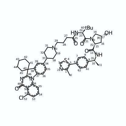 Cc1ncsc1-c1ccc([C@H](C)NC(=O)[C@@H]2C[C@@H](O)CN2C(=O)[C@@H](NC(=O)CCCN2CCC(c3ccc4c(c3)C3(CCCCC3)c3nc(=O)c5c(Cl)cccc5n3-4)CC2)C(C)(C)C)cc1